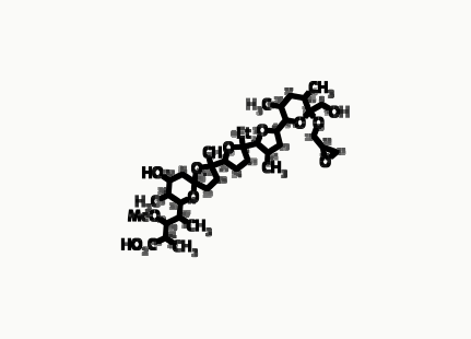 CCC1(C2OC(C3OC(CO)(OCC4CO4)C(C)CC3C)CC2C)CCC(C2(C)CCC3(CC(O)C(C)C(C(C)C(OC)C(C)C(=O)O)O3)O2)O1